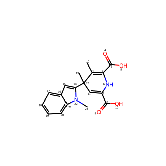 CC1=C(C(=O)O)NC(C(=O)O)=CC1(C)c1cc2ccccc2n1C